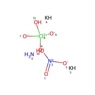 N.O=[N+]([O-])O.[KH].[KH].[O-][Cl+3]([O-])([O-])O